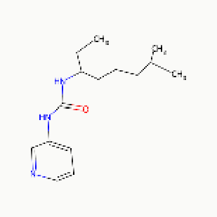 CCC(CCCC(C)C)NC(=O)Nc1cccnc1